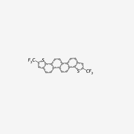 FC(F)(F)c1cc2ccc3c4ccc5c(ccc6cc(C(F)(F)F)sc65)c4ccc3c2s1